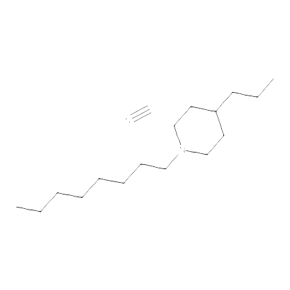 C#N.CCCCCCCCN1CCC(CCC)CC1